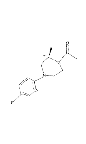 CC(=O)N1CCN(c2ccc(F)cc2)C[C@H]1C